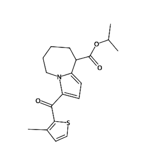 Cc1ccsc1C(=O)c1ccc2n1CCCCC2C(=O)OC(C)C